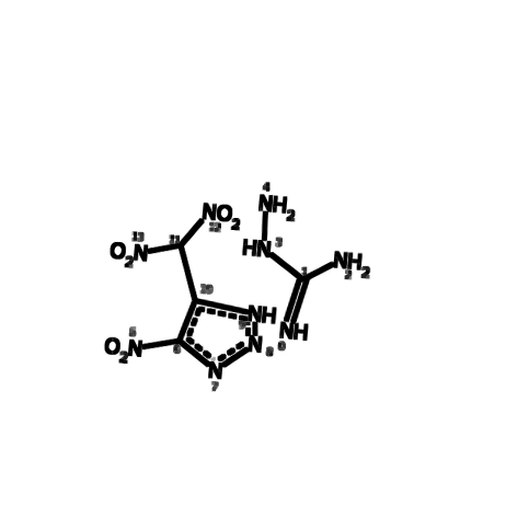 N=C(N)NN.O=[N+]([O-])c1nn[nH]c1C([N+](=O)[O-])[N+](=O)[O-]